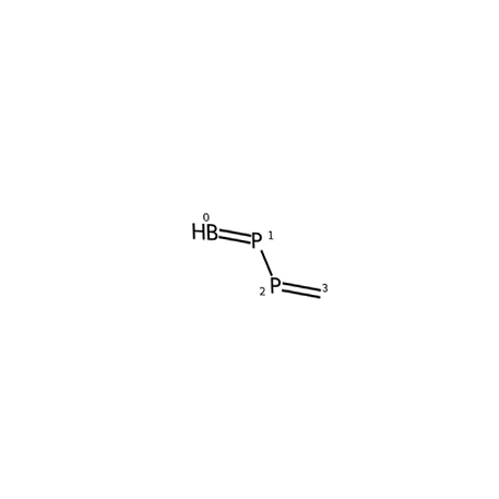 B=PP=C